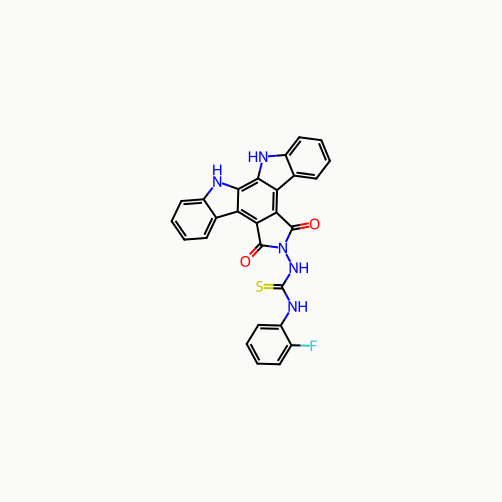 O=C1c2c(c3c4ccccc4[nH]c3c3[nH]c4ccccc4c23)C(=O)N1NC(=S)Nc1ccccc1F